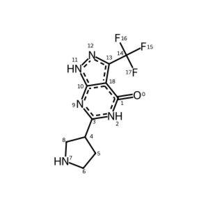 O=c1[nH]c(C2CCNC2)nc2[nH]nc(C(F)(F)F)c12